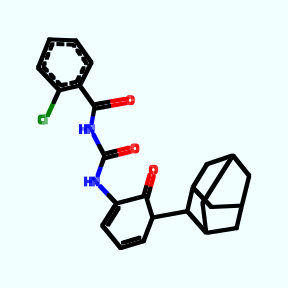 O=C(NC(=O)c1ccccc1Cl)NC1=CC=CC(C2C3CC4CC(C3)CC2C4)C1=O